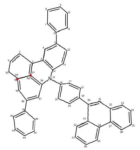 C1=CC(c2cc(-c3ccccc3)ccc2N(c2ccc(-c3cc4ccccc4c4ccccc34)cc2)c2cccc(-c3ccccc3)c2)=CCC1